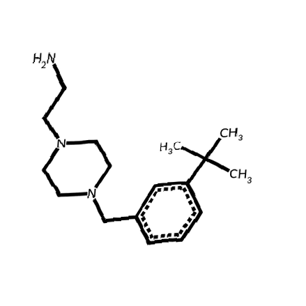 CC(C)(C)c1cccc(CN2CCN(CCN)CC2)c1